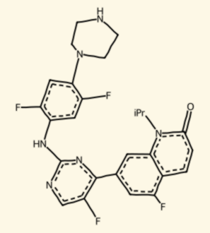 CC(C)n1c(=O)ccc2c(F)cc(-c3nc(Nc4cc(F)c(N5CCNCC5)cc4F)ncc3F)cc21